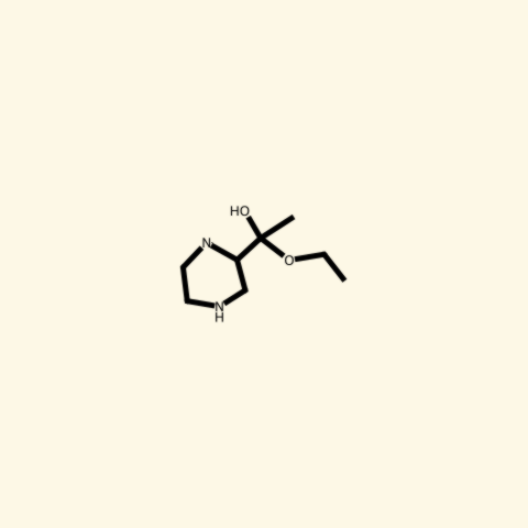 CCOC(C)(O)C1CNCC[N]1